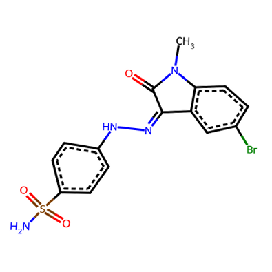 CN1C(=O)/C(=N\Nc2ccc(S(N)(=O)=O)cc2)c2cc(Br)ccc21